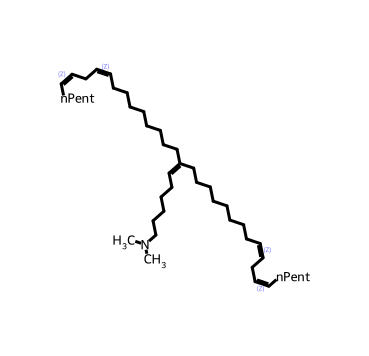 CCCCC/C=C\C/C=C\CCCCCCCCC(=CCCCCCN(C)C)CCCCCCCC/C=C\C/C=C\CCCCC